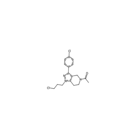 CC(=O)N1CCc2c(c(-c3ccc(Cl)cc3)nn2CCCCl)C1